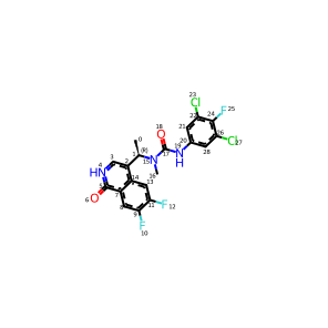 C[C@H](c1c[nH]c(=O)c2cc(F)c(F)cc12)N(C)C(=O)Nc1cc(Cl)c(F)c(Cl)c1